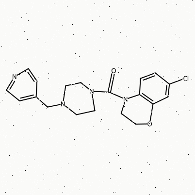 O=C(N1CCN(Cc2ccncc2)CC1)N1CCOc2cc(Cl)ccc21